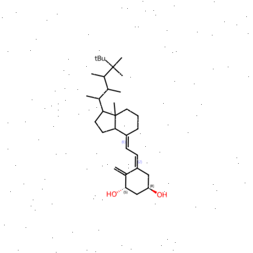 C=C1/C(=C\C=C2/CCCC3(C)C2CCC3C(C)C(C)C(C)C(C)(C)C(C)(C)C)C[C@@H](O)C[C@@H]1O